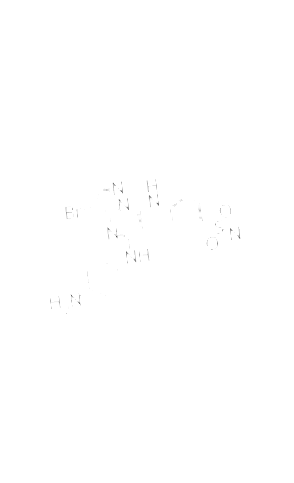 CN(C)S(=O)(=O)c1ccc(Nc2cc(N[C@H]3CC[C@@H](N)CC3)nc3c(Br)cnn23)cc1